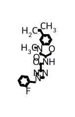 C=C(C)c1ccc2c(c1)N(C)C(=O)C(NC(=O)c1ncn(Cc3ccccc3F)n1)CO2